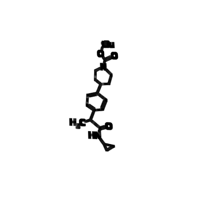 CC(C(=O)NC1CC1)c1ccc(C2CCN(C(=O)OC(C)(C)C)CC2)cc1